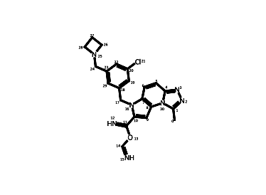 Cc1nnc2ccc3c(cc(C(=N)OC=N)n3Cc3cc(Cl)cc(CN4CCC4)c3)n12